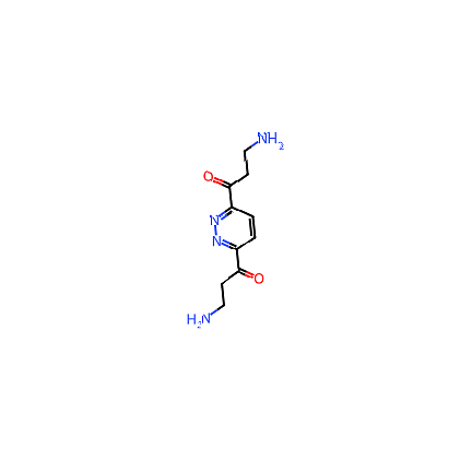 NCCC(=O)c1ccc(C(=O)CCN)nn1